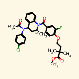 COC(=O)C(C)(C)CCOc1ccc(C(=O)N2c3ccccc3C(N(C(C)=O)c3ccc(Cl)cc3)C[C@@H]2C)cc1F